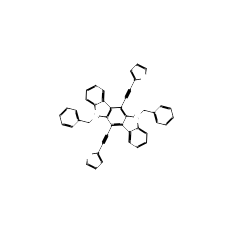 C(#Cc1c2c3ccccc3n(Cc3ccccc3)c2c(C#Cc2cccs2)c2c3ccccc3n(Cc3ccccc3)c12)c1cccs1